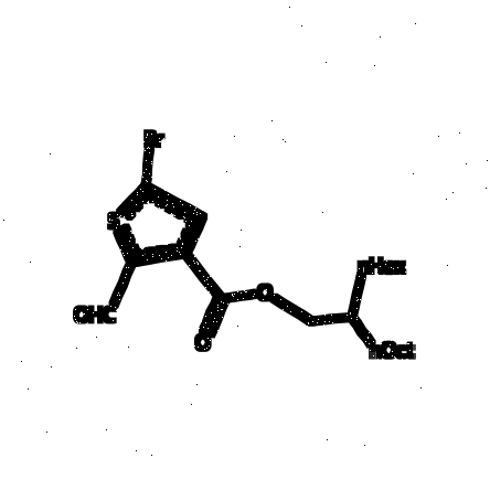 CCCCCCCCC(CCCCCC)COC(=O)c1cc(Br)sc1C=O